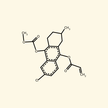 C=CC(=O)Oc1c2c(c(OC(=O)OC)c3cc(Cl)ccc13)CCC(C)C2